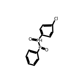 O=[P](c1ccccc1)[PH](=O)c1ccc(Cl)cc1